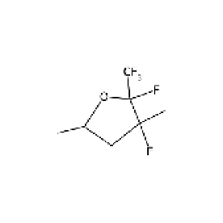 CC1CC(C)(F)C(F)(C(F)(F)F)O1